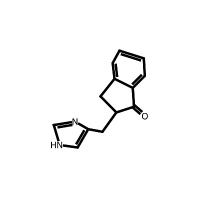 O=C1c2ccccc2CC1Cc1c[nH]cn1